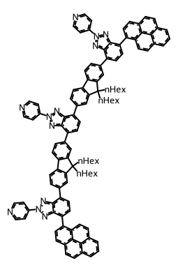 CCCCCCC1(CCCCCC)c2cc(-c3ccc(-c4ccc5c(c4)C(CCCCCC)(CCCCCC)c4cc(-c6ccc(-c7ccc8ccc9cccc%10ccc7c8c9%10)c7nn(-c8ccncc8)nc67)ccc4-5)c4nn(-c5ccncc5)nc34)ccc2-c2ccc(-c3ccc(-c4ccc5ccc6cccc7ccc4c5c67)c4nn(-c5ccncc5)nc34)cc21